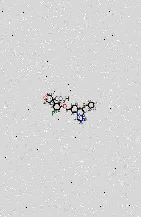 O=C(O)C1(c2cc(F)cc(OCc3ccc4c(SC5CCCC5)cc5nccn5c4c3)c2)CCOCC1